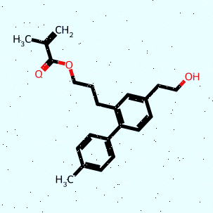 C=C(C)C(=O)OCCCc1cc(CCO)ccc1-c1ccc(C)cc1